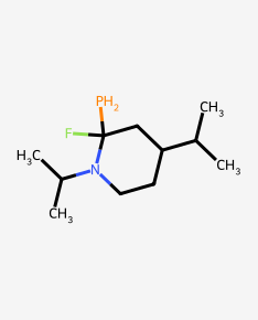 CC(C)C1CCN(C(C)C)C(F)(P)C1